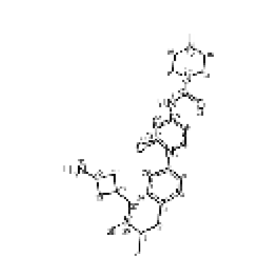 CC(Cc1ccc(-n2ccc(NC(=O)N3CCNCC3)nc2=O)cc1)N(C)CC1CC(N)C1